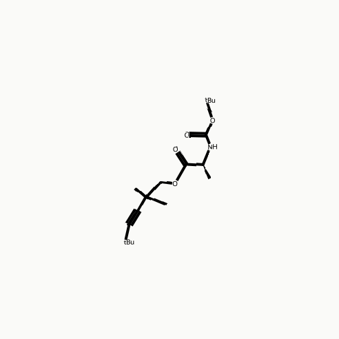 C[C@H](NC(=O)OC(C)(C)C)C(=O)OCC(C)(C)C#CC(C)(C)C